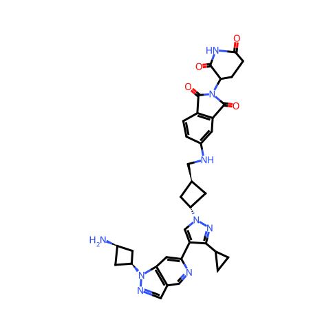 N[C@H]1C[C@@H](n2ncc3cnc(-c4cn([C@H]5C[C@H](CNc6ccc7c(c6)C(=O)N(C6CCC(=O)NC6=O)C7=O)C5)nc4C4CC4)cc32)C1